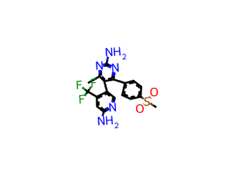 Cc1nc(N)nc(-c2ccc(S(C)(=O)=O)cc2)c1-c1cnc(N)cc1C(F)(F)F